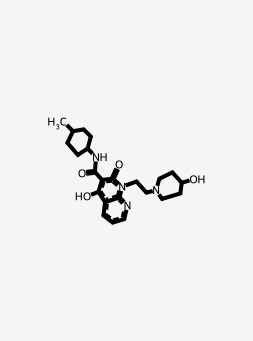 CC1CCC(NC(=O)c2c(O)c3cccnc3n(CCN3CCC(O)CC3)c2=O)CC1